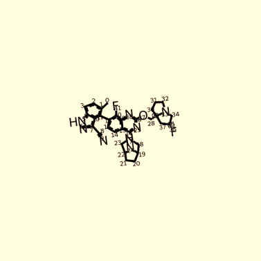 Cc1ccc2[nH]nc(C#N)c2c1-c1ccc2c(N3CC4CCC(C3)N4)nc(OC[C@@]34CCCN3C[C@H](F)C4)nc2c1F